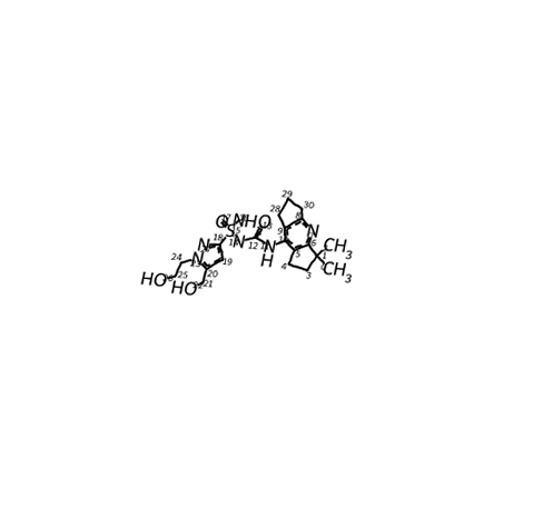 CC1(C)CCc2c1nc1c(c2NC(=O)N=S(N)(=O)c2cc(CO)n(CCO)n2)CCC1